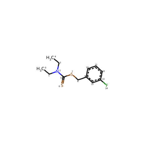 CCN(CC)C(=S)SCc1cccc(F)c1